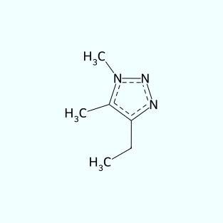 CCc1nnn(C)c1C